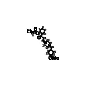 CCN(C)C(=O)Oc1ccccc1C(=O)C=CN1CCN(Cc2ccc(OC)cc2)CC1